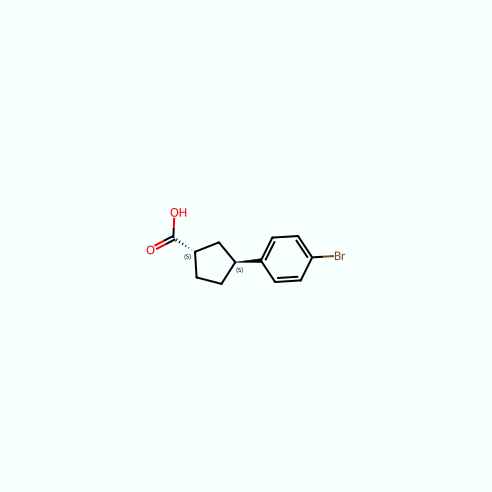 O=C(O)[C@H]1CC[C@H](c2ccc(Br)cc2)C1